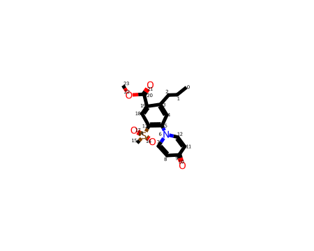 CCCc1cc(-n2ccc(=O)cc2)c(S(C)(=O)=O)cc1C(=O)OC